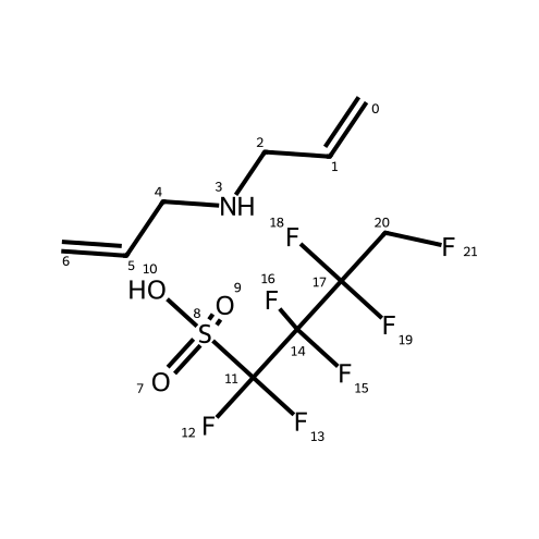 C=CCNCC=C.O=S(=O)(O)C(F)(F)C(F)(F)C(F)(F)CF